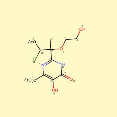 CCOC(=O)c1nc(C(C)(OCCO)C(Cl)OC(C)=O)[nH]c(=O)c1O